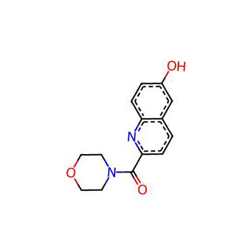 O=C(c1ccc2cc(O)ccc2n1)N1CCOCC1